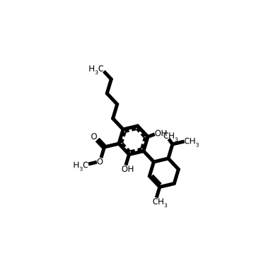 CCCCCc1cc(O)c(C2C=C(C)CCC2C(C)C)c(O)c1C(=O)OC